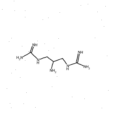 N=C(N)NCC(N)CNC(=N)N